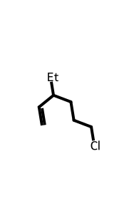 C=CC(CC)CCCCl